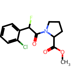 COC(=O)C1CCCN1C(=O)C(F)c1ccccc1Cl